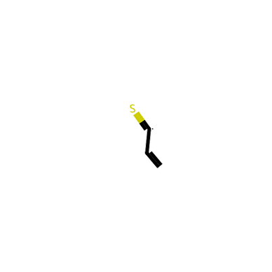 C=C[C]=S